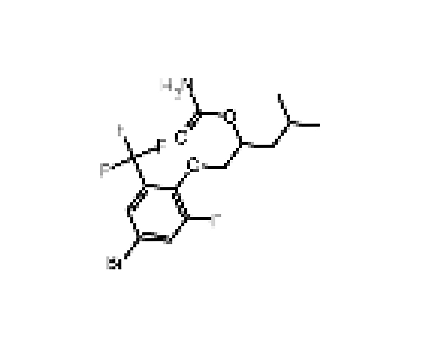 CC(C)CC(COc1c(F)cc(Br)cc1C(F)(F)F)OC(N)=O